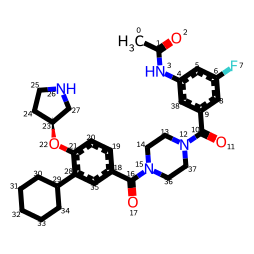 CC(=O)Nc1cc(F)cc(C(=O)N2CCN(C(=O)c3ccc(O[C@H]4CCNC4)c(C4CCCCC4)c3)CC2)c1